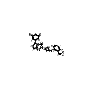 O=c1n2c(nn1[C@H]1C[C@H](Oc3cccc4sncc34)C1)CC[C@H]2c1cc(F)cc(F)c1